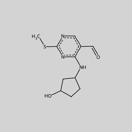 CSc1ncc(C=O)c(NC2CCC(O)C2)n1